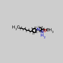 CCCCCCCCc1ccc(N2CCC(N)(COC)C2)cc1